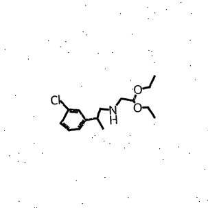 CCOC(CNCC(C)c1cccc(Cl)c1)OCC